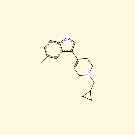 Cl.Clc1ccc2[nH]cc(C3=CCN(CC4CC4)CC3)c2c1